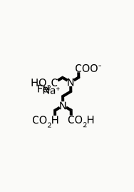 O=C([O-])CN(CCN(CC(=O)O)CC(=O)O)CC(=O)O.[Fe].[Na+]